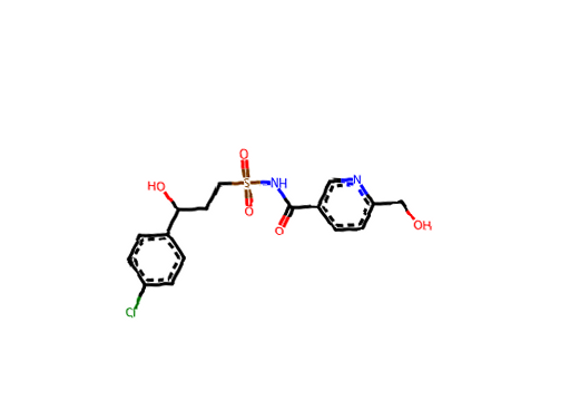 O=C(NS(=O)(=O)CCC(O)c1ccc(Cl)cc1)c1ccc(CO)nc1